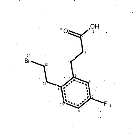 O=C(O)CCc1cc(F)ccc1CCBr